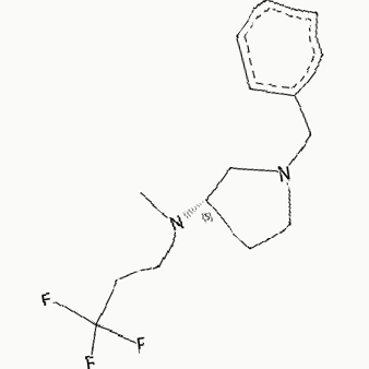 CN(CCC(F)(F)F)[C@H]1CCN(Cc2ccccc2)C1